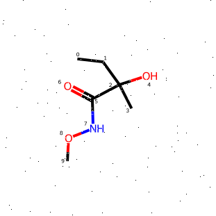 CCC(C)(O)C(=O)NOC